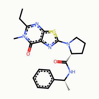 CCc1nc2sc(N3CCC[C@@H]3C(=O)N[C@H](C)c3ccccc3)nc2c(=O)n1C